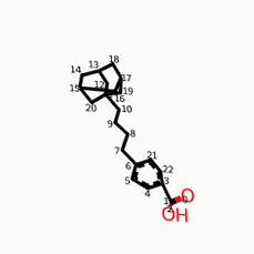 O=C(O)c1ccc(CCCCC23CC4CC(CC(C4)C2)C3)cc1